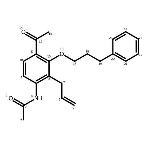 C=CCc1c(NC(C)=O)ccc(C(C)=O)c1OCCCc1ccccc1